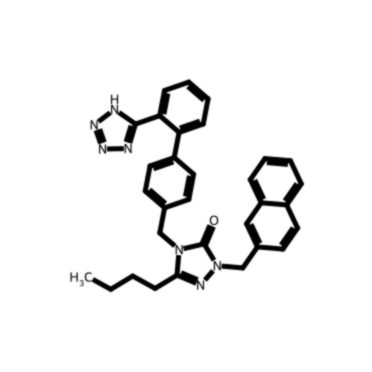 CCCCc1nn(Cc2ccc3ccccc3c2)c(=O)n1Cc1ccc(-c2ccccc2-c2nnn[nH]2)cc1